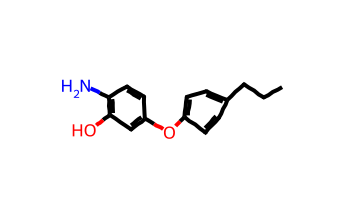 CCCc1ccc(Oc2ccc(N)c(O)c2)cc1